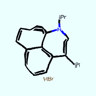 Br.CC(C)C1=CN(C(C)C)c2cccc3cccc1c23